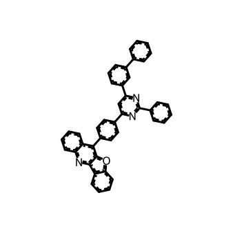 c1ccc(-c2cccc(-c3cc(-c4ccc(-c5c6ccccc6nc6c5oc5ccccc56)cc4)nc(-c4ccccc4)n3)c2)cc1